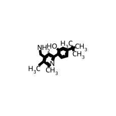 CCc1c(CN)cc(-c2ccc(C(C)(C)C)cc2O)nc1C